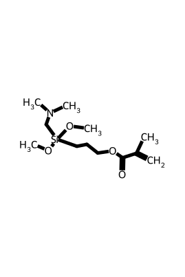 C=C(C)C(=O)OCCC[Si](CN(C)C)(OC)OC